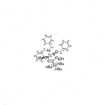 CCC[CH2][Sn]([CH2]CCC)([CH2]CCC)[C@H]1O[C@@H](OC)[C@H](N(Cc2ccccc2)Cc2ccccc2)[C@@H](OCc2ccccc2)[C@@H]1O